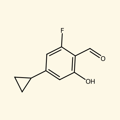 O=Cc1c(O)cc(C2CC2)cc1F